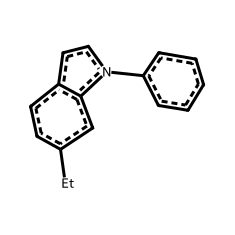 CCc1ccc2ccn(-c3ccccc3)c2c1